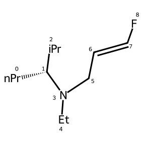 CCC[C@H](C(C)C)N(CC)C/C=C/F